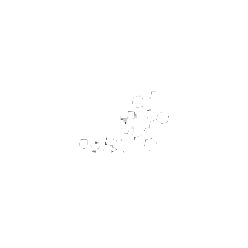 C=C[C@@H]1C[C@]1(NC(=O)[C@@H]1C[C@@]2(CN1C(=O)[C@@H](NC(=O)[C@@H](NC(=O)[C@@H]1CCCCN1CC(F)F)C1CCCCC1)C1CCOCC1)C(C)(C)C21CCC1)C(=O)NS(=O)(=O)N1CCCC1